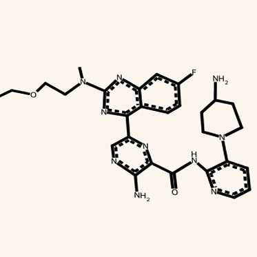 CCOCCN(C)c1nc(-c2cnc(N)c(C(=O)Nc3ncccc3N3CCC(N)CC3)n2)c2ccc(F)cc2n1